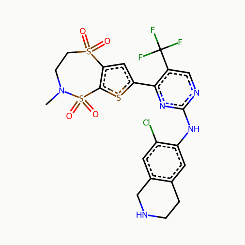 CN1CCS(=O)(=O)c2cc(-c3nc(Nc4cc5c(cc4Cl)CNCC5)ncc3C(F)(F)F)sc2S1(=O)=O